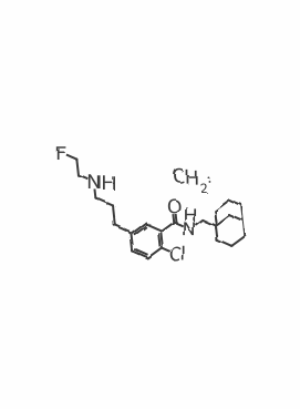 O=C(NCC12CCCC(CCC1)C2)c1cc(CCCNCCF)ccc1Cl.[CH2]